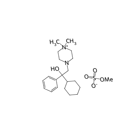 COS(=O)(=O)[O-].C[N+]1(C)CCN(CC(O)(c2ccccc2)C2CCCCC2)CC1